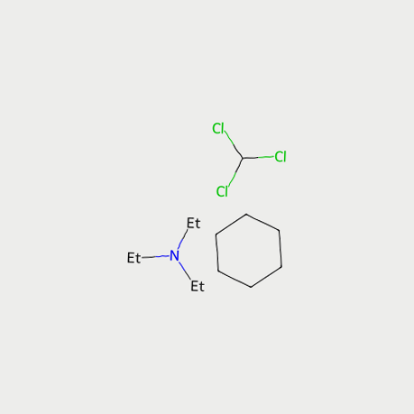 C1CCCCC1.CCN(CC)CC.ClC(Cl)Cl